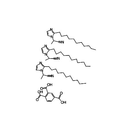 CCCCCCCCCCCc1nccn1C(C)C#N.CCCCCCCCCCCc1nccn1C(C)C#N.CCCCCCCCCCCc1nccn1C(C)C#N.O=C(O)c1ccc(C(=O)O)c(C(=O)O)c1